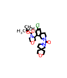 CC(C)(C)OC(=O)N1CCOCC1c1cc(Cl)cc2c1CN(C(=O)N1CCC3(CCOCC3)C1)CC2